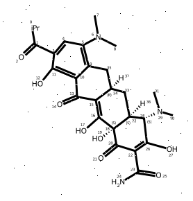 CC(C)C(=O)c1cc(N(C)C)c2c(c1O)C(=O)C1=C(O)[C@]3(O)C(=O)C(C(N)=O)=C(O)[C@@H](N(C)C)[C@@H]3C[C@@H]1C2